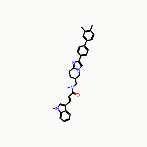 Cc1ccc(-c2ccc(-c3cn4c(n3)CCC(CNC(=O)C=Cc3c[nH]c5ccccc35)C4)cc2)cc1C